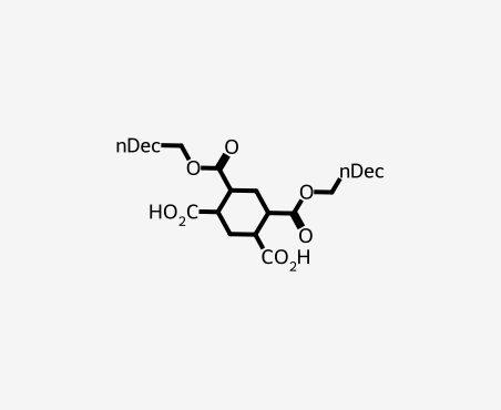 CCCCCCCCCCCOC(=O)C1CC(C(=O)OCCCCCCCCCCC)C(C(=O)O)CC1C(=O)O